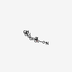 C=CC(=O)OCCOCCOc1ccc(C(=O)Oc2ccc(C#Cc3ccc(C#N)cc3)cc2F)cc1